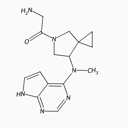 CN(c1ncnc2[nH]ccc12)C1CN(C(=O)CN)CC12CC2